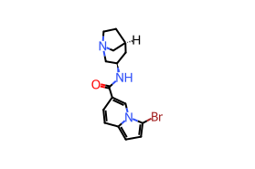 O=C(N[C@@H]1C[C@@H]2CCN(C2)C1)c1ccc2ccc(Br)n2c1